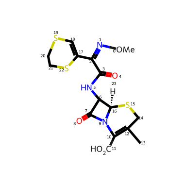 CO/N=C(\C(=O)NC1C(=O)N2C(C(=O)O)=C(C)CS[C@H]12)C1=CSCCS1